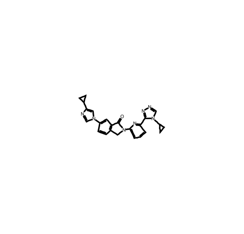 O=C1c2cc(-n3cnc(C4CC4)c3)ccc2CN1c1cccc(-c2nncn2C2CC2)n1